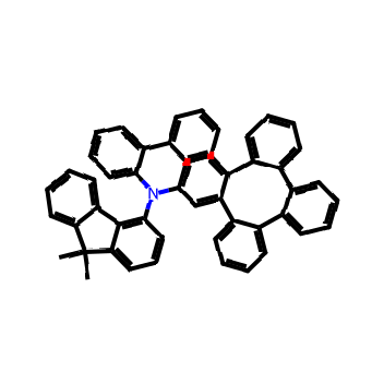 CC1(C)c2ccccc2-c2c(N(c3ccc4c(c3)-c3ccccc3-c3ccccc3-c3ccccc3-4)c3ccccc3-c3ccccc3)cccc21